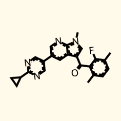 Cc1ccc(C)c(C(=O)c2cn(C)c3ncc(-c4cnc(C5CC5)nc4)cc23)c1F